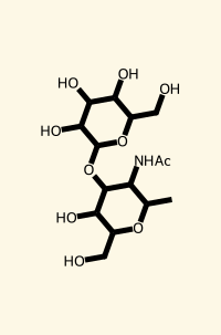 CC(=O)NC1C(C)OC(CO)C(O)C1OC1OC(CO)C(O)C(O)C1O